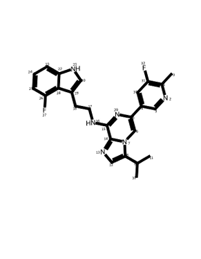 Cc1ncc(-c2cn3c(C(C)C)cnc3c(NCCc3c[nH]c4cccc(F)c34)n2)cc1F